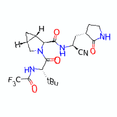 CC(C)(C)[C@H](NC(=O)C(F)(F)F)C(=O)N1C[C@@H]2C[C@@H]2[C@H]1C(=O)N[C@H](C#N)C[C@@H]1CCNC1=O